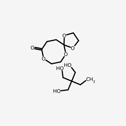 CCC(CO)(CO)CO.O=C1CCC2(OCCO1)OCCO2